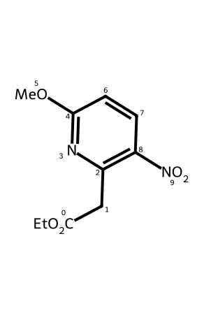 CCOC(=O)Cc1nc(OC)ccc1[N+](=O)[O-]